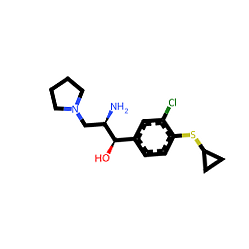 N[C@H](CN1CCCC1)[C@H](O)c1ccc(SC2CC2)c(Cl)c1